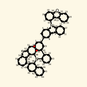 c1cc(-c2ccc3c(c2)c2ccccc2n3-c2cccc3oc4ccccc4c23)cc(-c2ccccc2N(c2cccc3ccccc23)c2cccc3sc4ccccc4c23)c1